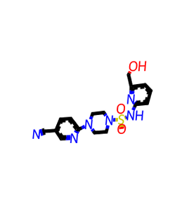 N#Cc1ccc(N2CCN(S(=O)(=O)Nc3cccc(CO)n3)CC2)nc1